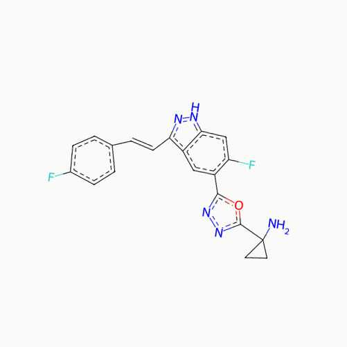 NC1(c2nnc(-c3cc4c(/C=C/c5ccc(F)cc5)n[nH]c4cc3F)o2)CC1